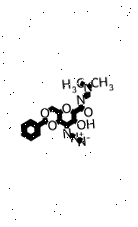 CN(C)/C=N/C(=O)C1OC2COC(c3ccccc3)OC2C(N=[N+]=[N-])C1O